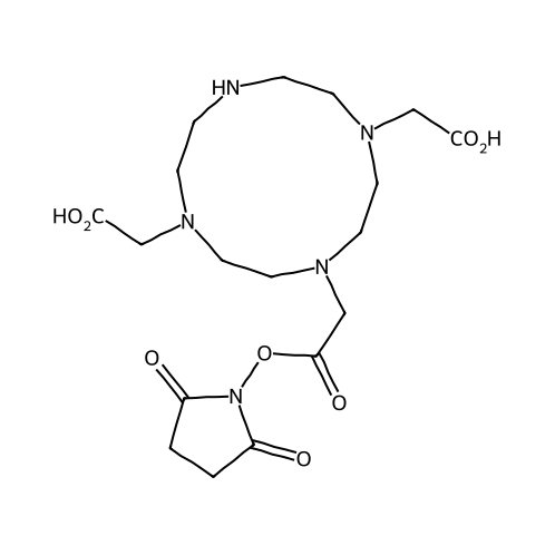 O=C(O)CN1CCNCCN(CC(=O)O)CCN(CC(=O)ON2C(=O)CCC2=O)CC1